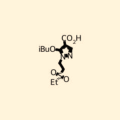 CCS(=O)(=O)CCn1ncc(C(=O)O)c1OCC(C)C